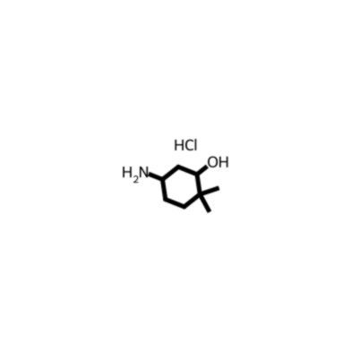 CC1(C)CCC(N)CC1O.Cl